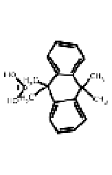 CC1(C)c2ccccc2C(C)(C)c2ccccc21.OBO